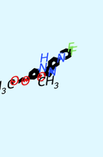 COCCOc1ccc(Nc2ccnc3cc(N4CCC(F)(F)CC4)ccc23)c(OC)c1